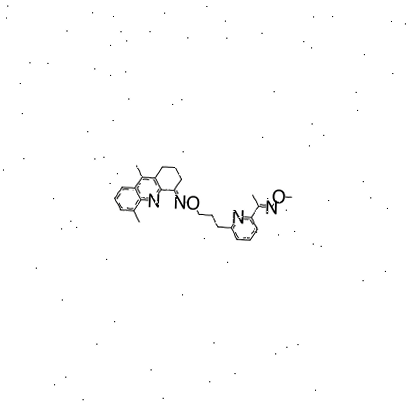 CO/N=C(\C)c1cccc(CCCO/N=C2\CCCc3c2nc2c(C)cccc2c3C)n1